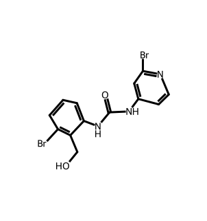 O=C(Nc1ccnc(Br)c1)Nc1cccc(Br)c1CO